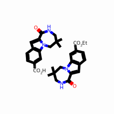 CC1(C)CNC(=O)c2cc3ccc(C(=O)O)cc3n2C1.CCOC(=O)c1ccc2cc3n(c2c1)CC(C)(C)CNC3=O